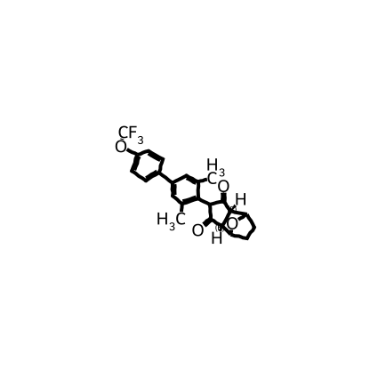 Cc1cc(-c2ccc(OC(F)(F)F)cc2)cc(C)c1C1C(=O)[C@@H]2C3CCC(O3)[C@@H]2C1=O